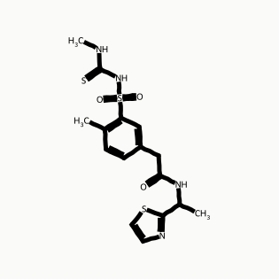 CNC(=S)NS(=O)(=O)c1cc(CC(=O)NC(C)c2nccs2)ccc1C